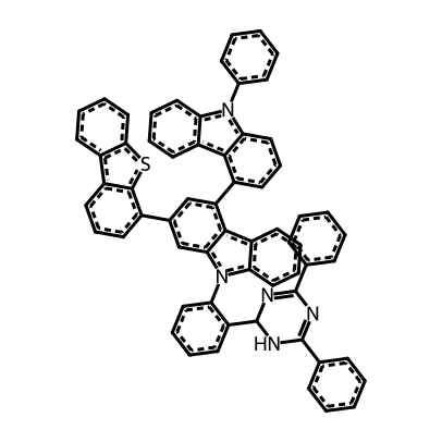 c1ccc(C2=NC(c3ccccc3-n3c4ccccc4c4c(-c5cccc6c5c5ccccc5n6-c5ccccc5)cc(-c5cccc6c5sc5ccccc56)cc43)NC(c3ccccc3)=N2)cc1